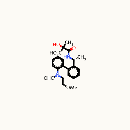 COCCN(C=O)c1ccccc1-c1ccccc1[C@@H](C)NC(=O)C(C)(O)C(=O)O